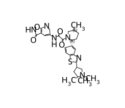 C[C@H]1CC[C@H](c2ccc3sc(C4CN(C)C(C)(C)C4)nc3c2)N(C(=O)C(=O)Nc2cnc3o[nH]c(=O)c3c2)C1